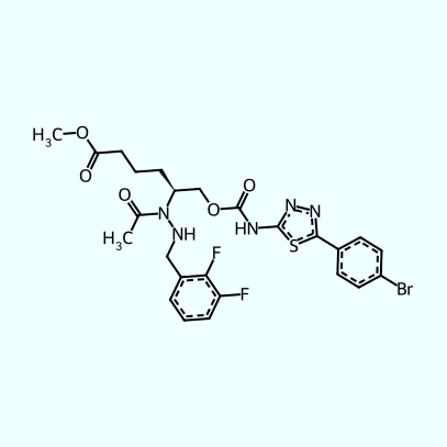 COC(=O)CCC[C@@H](COC(=O)Nc1nnc(-c2ccc(Br)cc2)s1)N(NCc1cccc(F)c1F)C(C)=O